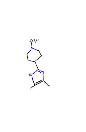 O=C(O)N1CCC(c2nc(I)c(I)[nH]2)CC1